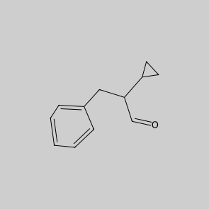 O=CC(Cc1ccccc1)C1CC1